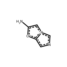 Nc1cn2cncc2o1